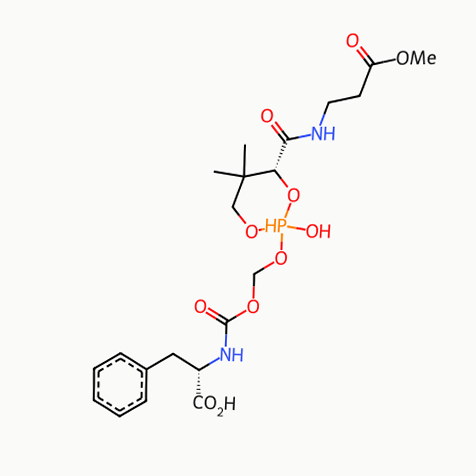 COC(=O)CCNC(=O)[C@@H]1O[PH](O)(OCOC(=O)N[C@@H](Cc2ccccc2)C(=O)O)OCC1(C)C